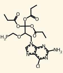 CCC(=O)OC(OC(=O)CC)(OC(=O)CC)C(Cn1cnc2c(Cl)nc(N)nc21)OCP